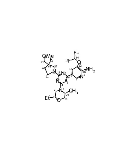 CC[C@H]1CN(c2cc(-c3cnc(N)c(OC(F)F)c3)nc(N3CCC(F)(COC)C3)n2)[C@@H](C)CO1